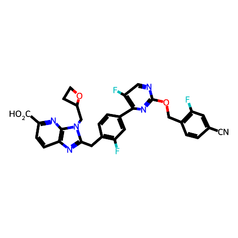 N#Cc1ccc(COc2ncc(F)c(-c3ccc(Cc4nc5ccc(C(=O)O)nc5n4CC4CCO4)c(F)c3)n2)c(F)c1